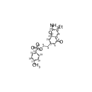 CCc1cc2c(=O)cc(CCOS(=O)(=O)c3ccc(C)cc3)cc-2oc1N